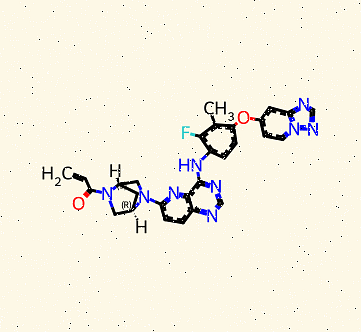 C=CC(=O)N1C[C@H]2C[C@H]1CN2c1ccc2ncnc(Nc3ccc(Oc4ccn5ncnc5c4)c(C)c3F)c2n1